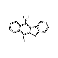 Cl.Clc1c2nc3ccccc3c-2[nH]c2ccccc12